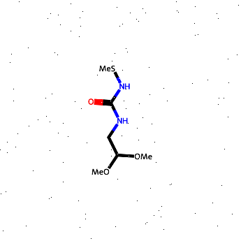 COC(CNC(=O)NSC)OC